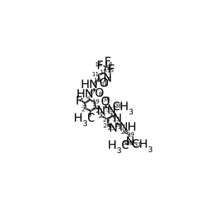 Cc1cc(F)c(NC(=O)Nc2cc(C(F)(F)F)no2)cc1N1Cc2cnc(NCCN(C)C)nc2N(C)C1=O